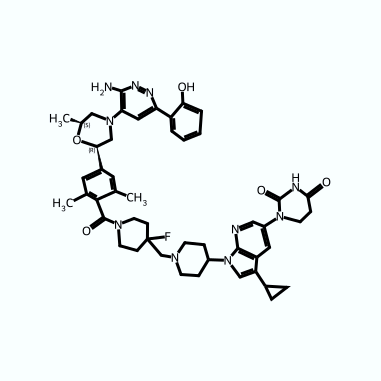 Cc1cc([C@@H]2CN(c3cc(-c4ccccc4O)nnc3N)C[C@H](C)O2)cc(C)c1C(=O)N1CCC(F)(CN2CCC(n3cc(C4CC4)c4cc(N5CCC(=O)NC5=O)cnc43)CC2)CC1